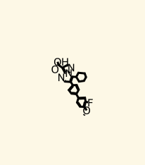 COc1ccc(-c2ccc(-c3cnc4c(C(=O)O)cnn4c3C3CCCCC3)cc2)cc1F